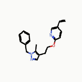 C=Cc1ccc(OCCc2cnn(Cc3ccccc3)c2C)nc1